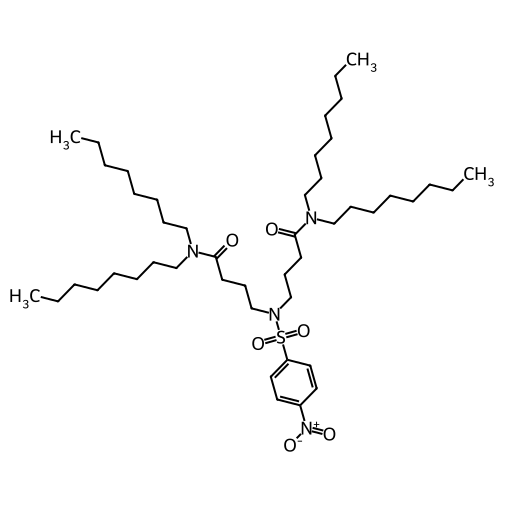 CCCCCCCCN(CCCCCCCC)C(=O)CCCN(CCCC(=O)N(CCCCCCCC)CCCCCCCC)S(=O)(=O)c1ccc([N+](=O)[O-])cc1